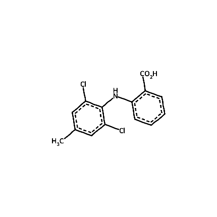 Cc1cc(Cl)c(Nc2ccccc2C(=O)O)c(Cl)c1